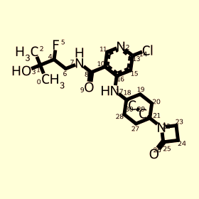 CC(C)(O)C(F)CNC(=O)c1cnc(Cl)cc1NC12CCC(N3CCC3=O)(CC1)CC2